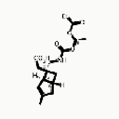 CCC(=O)O[C@@H](C)OC(=O)NC[C@]1(CC(=O)O)C[C@@H]2CC(C)=C[C@H]21